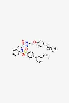 CC(C(=O)O)c1ccc(OCCNC(=O)[C@@H]2Cc3ccccc3N2S(=O)(=O)c2ccc(-c3cccc(C(F)(F)F)c3)cc2)cc1